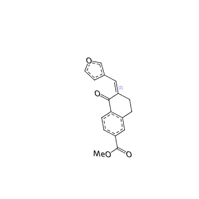 COC(=O)c1ccc2c(c1)CC/C(=C/c1ccoc1)C2=O